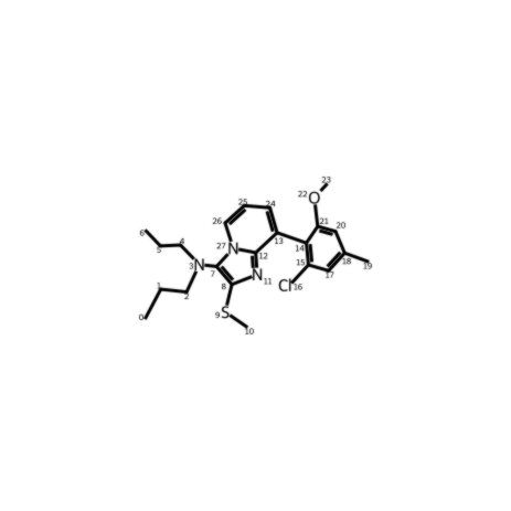 CCCN(CCC)c1c(SC)nc2c(-c3c(Cl)cc(C)cc3OC)cccn12